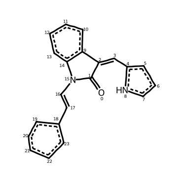 O=C1/C(=C\c2ccc[nH]2)c2ccccc2N1/C=C/c1ccccc1